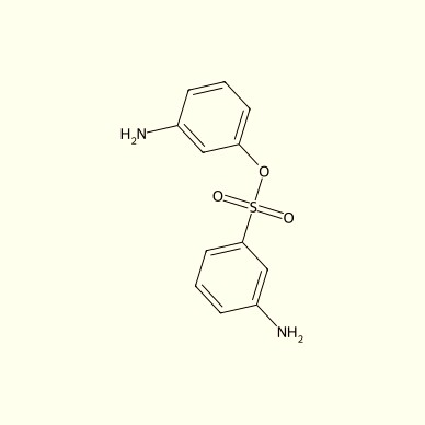 Nc1cccc(OS(=O)(=O)c2cccc(N)c2)c1